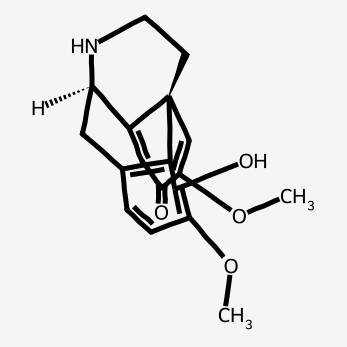 COC1=C[C@]23CCN[C@H](Cc4ccc(OC)c(O)c42)C3=CC1=O